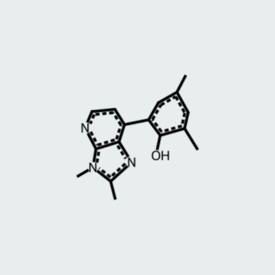 Cc1cc(C)c(O)c(-c2ccnc3c2nc(C)n3C)c1